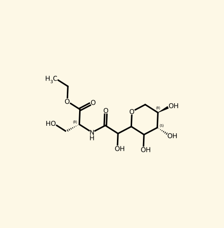 CCOC(=O)[C@@H](CO)NC(=O)C(O)C1OC[C@@H](O)[C@H](O)C1O